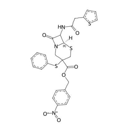 O=C(Cc1cccs1)NC1C(=O)N2CC(Sc3ccccc3)(C(=O)OCc3ccc([N+](=O)[O-])cc3)CS[C@H]12